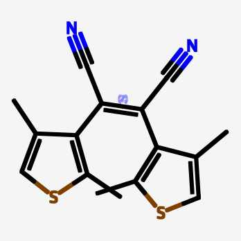 Cc1csc(C)c1/C(C#N)=C(/C#N)c1c(C)csc1C